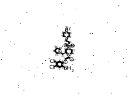 Bc1cc(Cl)c(Cl)cc1OCC(=O)N1CCN(S(=O)(=O)CCN2CCN(C(C)=O)CC2)C[C@@H]1CN1CCCC1